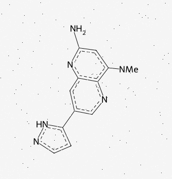 CNc1cc(N)nc2cc(-c3ccn[nH]3)cnc12